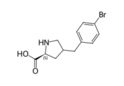 O=C(O)[C@@H]1CC(Cc2ccc(Br)cc2)CN1